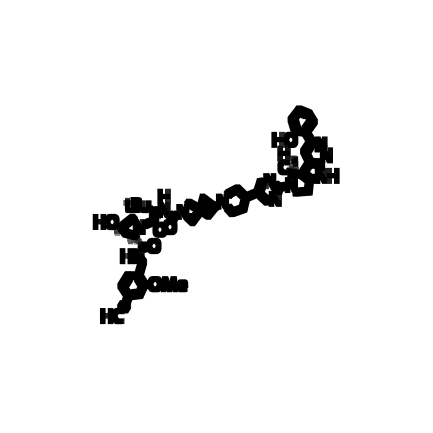 C#Cc1ccc(CNC(=O)[C@@H]2C[C@@H](O)CN2C(=O)[C@@H](NC(=O)N2CC3(CC(N4CCC(c5cnc(N6CCc7[nH]c8nnc(-c9ccccc9O)cc8c7[C@H]6C)nc5)CC4)C3)C2)C(C)(C)C)c(OC)c1